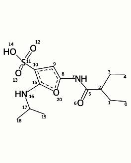 CCC(CC)C(=O)Nc1cc(S(=O)(=O)O)c(NC(C)C)o1